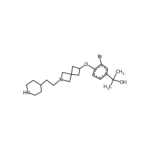 CC(C)(O)c1ccc(OC2CC3(C2)CN(CCC2CCNCC2)C3)c(Br)c1